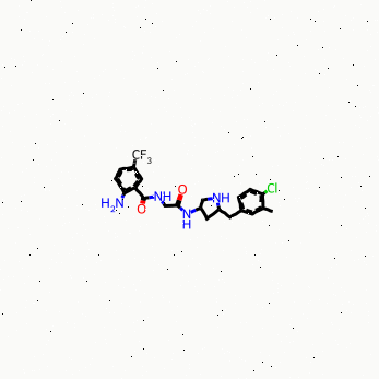 Cc1cc(CC2CC(NC(=O)CNC(=O)c3cc(C(F)(F)F)ccc3N)CN2)ccc1Cl